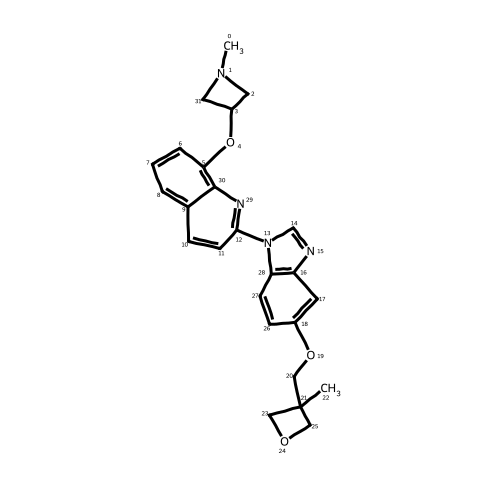 CN1CC(Oc2cccc3ccc(-n4cnc5cc(OCC6(C)COC6)ccc54)nc23)C1